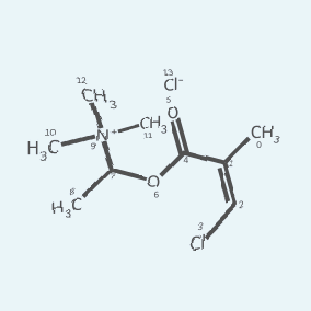 CC(=CCl)C(=O)OC(C)[N+](C)(C)C.[Cl-]